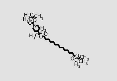 CC(C)(C)OC(=O)CCCCCCCCCCCCC(=O)OC(C)(C)C1CCN(C(=O)OC(C)(C)C)CC1